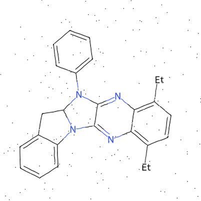 CCc1ccc(CC)c2nc3c(nc12)N(c1ccccc1)C1Cc2ccccc2N31